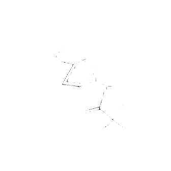 CC(C)(C)C(=O)Nc1ccc(C(C)(C)C)cc1